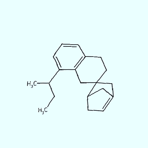 CCC(C)c1cccc2c1CC1(CC2)CC2=CCC1C2